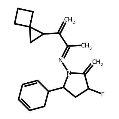 C=C(/C(C)=N/N1C(=C)C(F)CC1C1C=CC=CC1)C1CC12CCC2